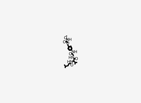 CONC(=O)OCc1ccc(NC(=O)CNC(=O)C(NC(=O)CCC(C)C)C(C)C)cc1